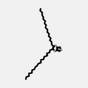 CCCCCCCCCCCCCCCCCCc1nc2cscc2nc1CCCCCCCCCCCCCCCCCC